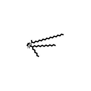 CCCCCCCCCCCCCCCCCC(C)n1ccnc1C(CCCCCC)CCCCCCCCCCCC